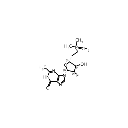 C=P(C)(C)CC[C@H]1O[C@@H](n2cnc3c(=O)[nH]c(C)nc32)[C@H](F)[C@@H]1O